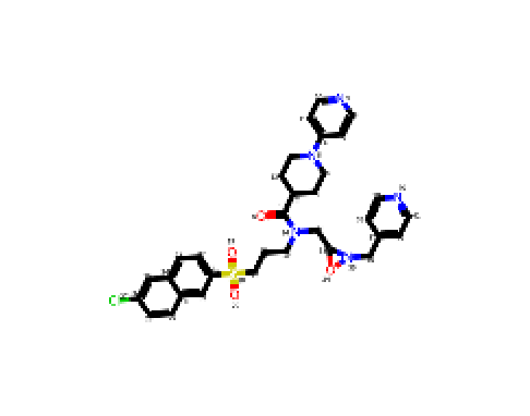 O=C(C1CCN(c2ccncc2)CC1)N(CCCS(=O)(=O)c1ccc2cc(Cl)ccc2c1)CC1ON1Cc1ccncc1